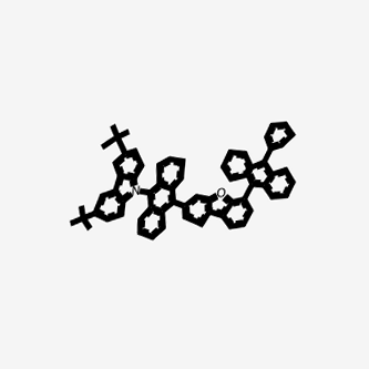 CC(C)(C)c1ccc2c(c1)c1cc(C(C)(C)C)ccc1n2-c1c2ccccc2c(-c2ccc3c(c2)oc2c(-c4c5ccccc5c(-c5ccccc5)c5ccccc45)cccc23)c2ccccc12